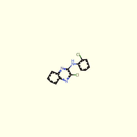 Clc1ccccc1Nc1nc2ccccc2nc1Cl